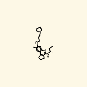 CC[C@H](C)Nc1nc2cc(OCCCN3CCCC3)c(C)cc2c2c1CCC2